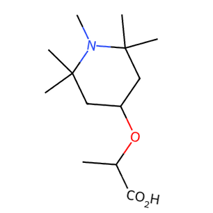 CC(OC1CC(C)(C)N(C)C(C)(C)C1)C(=O)O